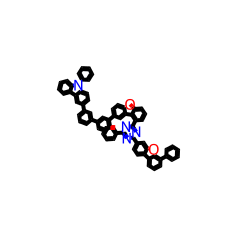 c1ccc(-c2nc(-c3ccc4c(c3)oc3c(-c5ccccc5)cccc34)nc(-c3cccc4oc5ccc(-c6cccc(-c7cccc(-c8ccc9c(c8)c8ccccc8n9-c8ccccc8)c7)c6)cc5c34)n2)cc1